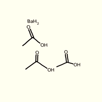 CC(=O)O.CC(=O)O.CC(=O)O.[BaH2]